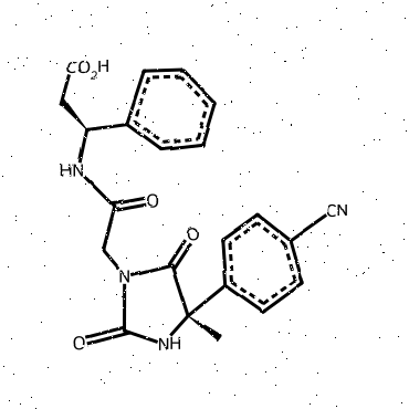 C[C@@]1(c2ccc(C#N)cc2)NC(=O)N(CC(=O)N[C@@H](CC(=O)O)c2ccccc2)C1=O